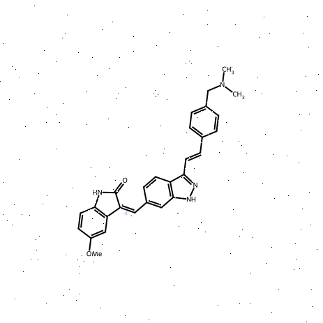 COc1ccc2c(c1)/C(=C/c1ccc3c(C=Cc4ccc(CN(C)C)cc4)n[nH]c3c1)C(=O)N2